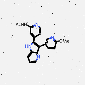 COc1ccc(-c2c(-c3ccnc(NC(C)=O)c3)[nH]c3cccnc23)cn1